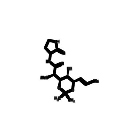 CO[C@@H](C(=O)NC1CCNC1=O)[C@@H]1OC(C)(C)O[C@H](C=CC(C)(C)C)[C@H]1O